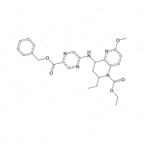 CCOC(=O)N1c2ccc(OC)nc2C(Nc2cnc(C(=O)OCc3ccccc3)cn2)CC1CC